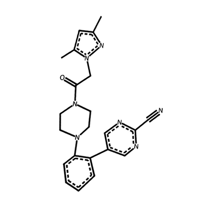 Cc1cc(C)n(CC(=O)N2CCN(c3ccccc3-c3cnc(C#N)nc3)CC2)n1